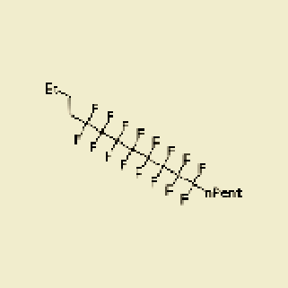 CC/C=C/C(F)(F)C(F)(F)C(F)(F)C(F)(F)C(F)(F)C(F)(F)C(F)(F)C(F)(F)CCCCC